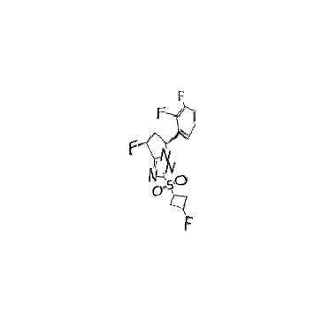 O=S(=O)(c1nc2n(n1)[C@H](c1cccc(F)c1F)C[C@@H]2F)C1CC(F)C1